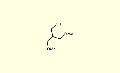 COCC(CO)COC